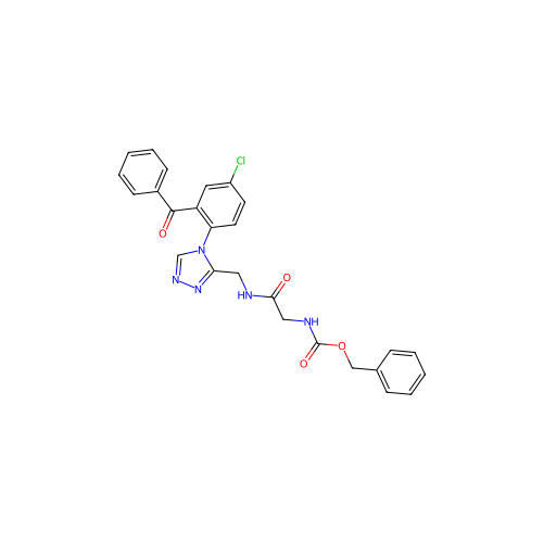 O=C(CNC(=O)OCc1ccccc1)NCc1nncn1-c1ccc(Cl)cc1C(=O)c1ccccc1